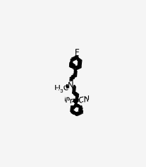 CC(C)C(C#N)(CCCN(C)CCc1ccc(F)cc1)c1ccccc1